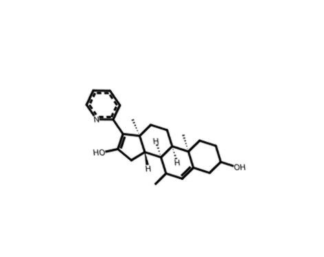 CC1C=C2CC(O)CC[C@]2(C)[C@@H]2CC[C@]3(C)C(c4ccccn4)=C(O)C[C@H]3[C@H]12